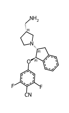 N#Cc1c(F)cc(O[C@@H]2c3ccccc3C[C@H]2N2CC[C@H](CN)C2)cc1F